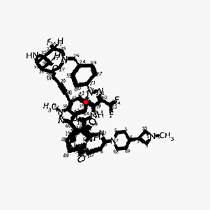 CN1CC(C2CCN(c3ccn4ncc(C(=O)Nc5cn([C@H]6CC[C@H](CN7CCC8C9NC9([C@H](F)C7)[C@H]8OCC#Cc7cccc8c(C9CCC(=O)NC9=O)nn(C)c78)CC6)nc5C(F)F)c4n3)CC2)C1